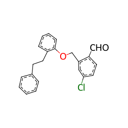 O=Cc1ccc(Cl)cc1COc1ccccc1CCc1ccccc1